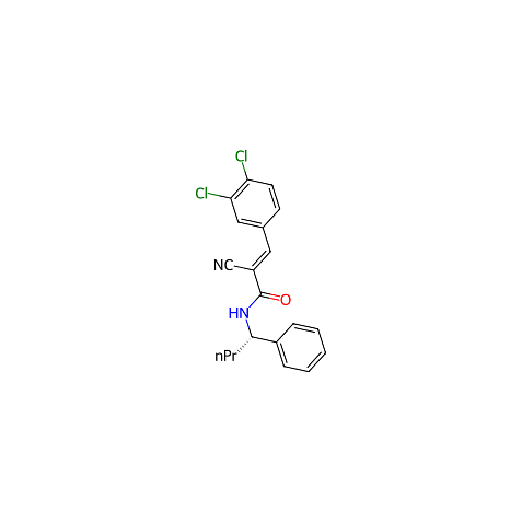 CCC[C@H](NC(=O)/C(C#N)=C/c1ccc(Cl)c(Cl)c1)c1ccccc1